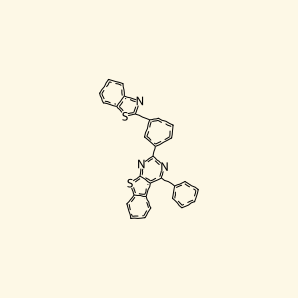 c1ccc(-c2nc(-c3cccc(-c4nc5ccccc5s4)c3)nc3sc4ccccc4c23)cc1